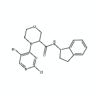 O=C(NC1CCc2ccccc21)C1COCCN1c1nc(Cl)ncc1Br